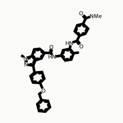 CNC(=O)c1ccc(C(=O)Nc2cc(NC(=O)c3ccc4c(c3)c(-c3ccc(OCc5ccccc5)cc3)nn4C)ccc2C)cc1